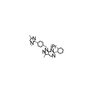 Cc1cn(C)c(-c2ccc(Cn3nc(C)c4cnc(-c5ccccc5C(C)C)nc43)cc2)n1